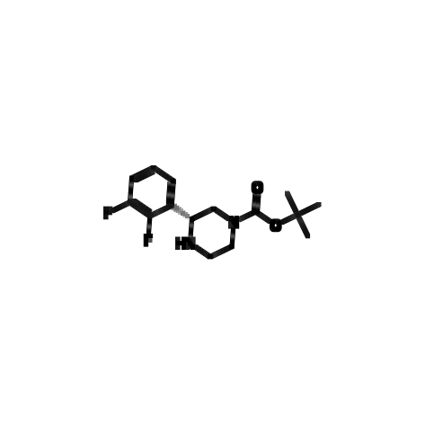 CC(C)(C)OC(=O)N1CCN[C@H](c2cccc(F)c2F)C1